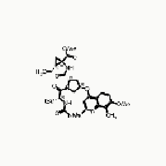 C=C[C@@H]1C[C@]1(NC(=O)[C@@H]1C[C@@H](Oc2cc(C(C)=O)nc3c(C)c(OC)ccc23)CN1C(=O)[C@H](NC(=O)NC)C(C)(C)C)C(=O)OC